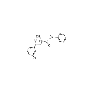 COC(CNC(=O)[C@@H]1C[C@H]1c1ccccc1)c1cccc(Cl)c1